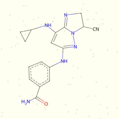 N#CC1CN=C2C(NC3CC3)=CC(Nc3cccc(C(N)=O)c3)=NN21